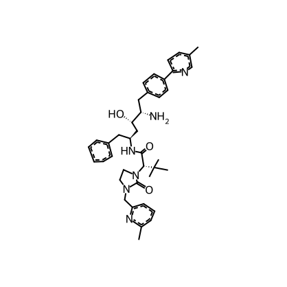 Cc1ccc(-c2ccc(C[C@H](N)[C@@H](O)C[C@H](Cc3ccccc3)NC(=O)[C@@H](N3CCN(Cc4cccc(C)n4)C3=O)C(C)(C)C)cc2)nc1